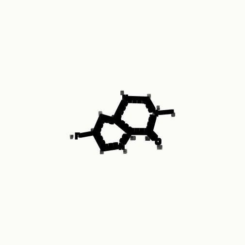 Cn1cnc2cc(F)cnc2c1=O